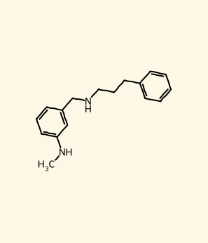 CNc1cccc(CNCCCc2ccccc2)c1